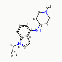 CCN1CCC(Nc2cccc3c2ccn3CC(F)(F)F)CC1